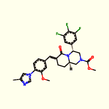 COC(=O)N1C[C@H]2CC/C(=C\c3ccc(-n4cnc(C)c4)c(OC)c3)C(=O)N2[C@H](c2cc(F)c(F)c(F)c2)C1